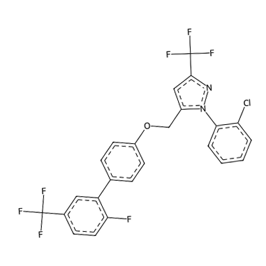 Fc1ccc(C(F)(F)F)cc1-c1ccc(OCc2cc(C(F)(F)F)nn2-c2ccccc2Cl)cc1